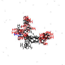 CC1O[C@@H](O[C@@H]2C(O[C@@H]3OC(C)[C@H](O)[C@H](O)C3O)[C@@H](N)C(CO)O[C@H]2OC(=O)[C@]23CCC(C)(C)CC2C2=CCC4C5(C)CC[C@H](O[C@@H]6OC[C@@H](O)[C@H](O[C@@H]7OC[C@@H](O)[C@H](O)C7O)C6O[C@@H]6OC(CO)[C@H](O)[C@H](O)C6O)[C@](C)(C=O)[C@@H]5CC[C@]4(C)[C@]2(C)CC3O)[C@@H](O)C(O)[C@H]1O[C@@H]1OC[C@@H](O)C(O[C@@H]2OC[C@](O)(CO)C2O)[C@H]1O